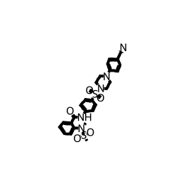 CN(c1ccccc1C(=O)Nc1ccc(S(=O)(=O)N2CCN(c3ccc(C#N)cc3)CC2)cc1)S(C)(=O)=O